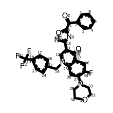 O=C(c1ccccc1)c1nc(-c2cn(Cc3ccc(C(F)(F)F)cc3)c3cc(N4CCOCC4)c(F)cc3c2=O)no1